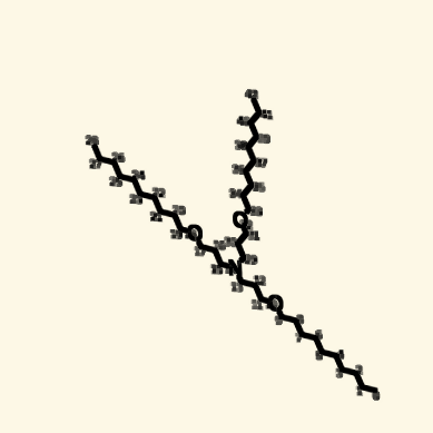 CCCCCCCCCCOCCCN(CCCOCCCCCCCCCC)CCCOCCCCCCCCCC